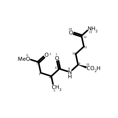 COC(=O)CC(C)C(=O)N[C@@H](CCC(N)=O)C(=O)O